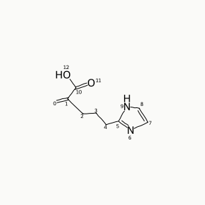 C=C(CCCc1ncc[nH]1)C(=O)O